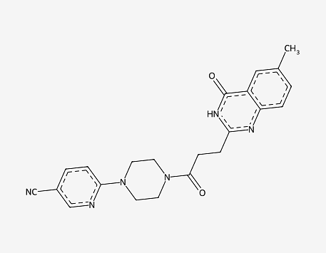 Cc1ccc2nc(CCC(=O)N3CCN(c4ccc(C#N)cn4)CC3)[nH]c(=O)c2c1